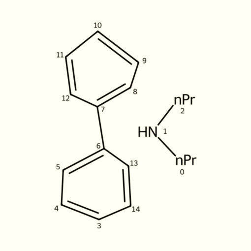 CCCNCCC.c1ccc(-c2ccccc2)cc1